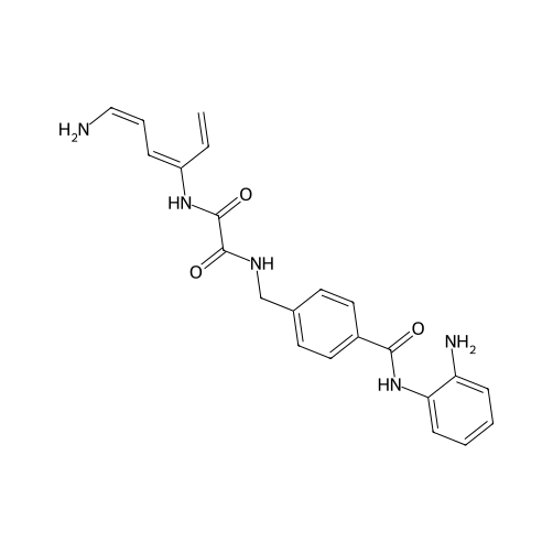 C=C/C(=C\C=C/N)NC(=O)C(=O)NCc1ccc(C(=O)Nc2ccccc2N)cc1